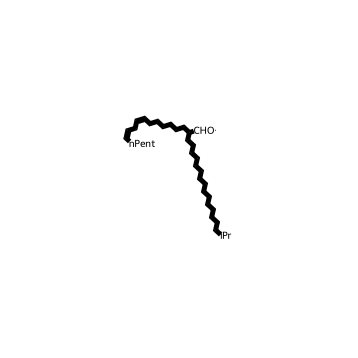 CCCCC/C=C\C/C=C\CCCCCCC([C]=O)CCCCCCCCCCCCCCCC(C)C